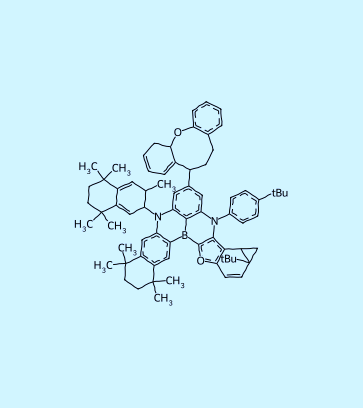 CC1C=C2C(=CC1N1c3cc4c(cc3B3c5oc6c(c5N(c5ccc(C(C)(C)C)cc5)c5cc(C7CCc8ccccc8OC8CC=CC=C87)cc1c53)C1CC1(C(C)(C)C)C=C6)C(C)(C)CCC4(C)C)C(C)(C)CCC2(C)C